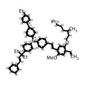 C=Cc1cc(OC)c(C=Cc2ccc(N(c3ccc(-c4ccc(CC)cc4)cc3)c3ccc(C(C=Cc4ccccc4)(CC)CC)cc3)cc2)cc1OCCC(C)CCCC(C)C